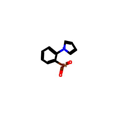 O=[SH](=O)c1ccccc1-n1cccc1